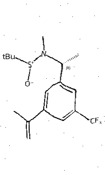 C=C(C)c1cc([C@@H](C)N(C)[S+]([O-])C(C)(C)C)cc(C(F)(F)F)c1